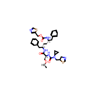 CBOC[C@H](NC(=O)N(CC1CN=CS1)C1CC1)C(=O)N[C@@H](CC[C@@H](Cc1ccccc1)NC(=O)OCc1cncs1)Cc1ccccc1